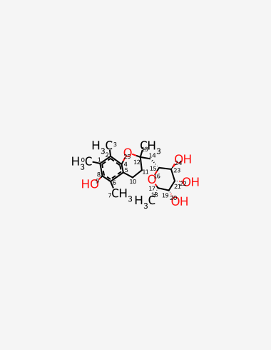 Cc1c(C)c2c(c(C)c1O)CCC(C)(C[C@H]1O[C@@H](C)[C@@H](O)[C@@H](O)[C@@H]1O)O2